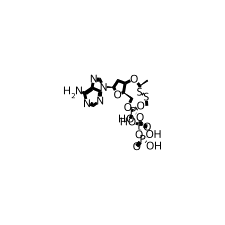 CSS[C@H](C)OC1C[C@H](n2cnc3c(N)ncnc32)O[C@@H]1COP(=O)(O)OP(=O)(O)OP(=O)(O)O